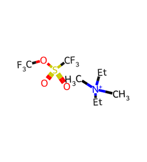 CC[N+](C)(C)CC.O=S(=O)(OC(F)(F)F)C(F)(F)F